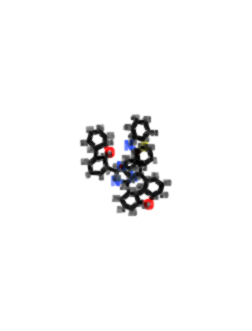 c1ccc(-c2nc(-c3cccc4c3oc3ccccc34)nc(-c3cccc4oc5cccc(-c6cccc(-c7nc8ccccc8s7)c6)c5c34)n2)cc1